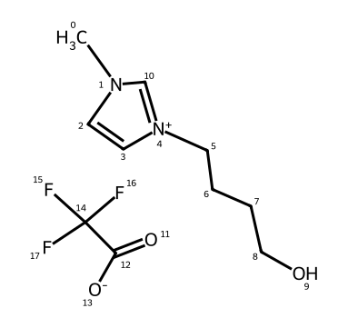 Cn1cc[n+](CCCCO)c1.O=C([O-])C(F)(F)F